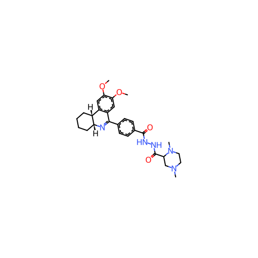 COc1cc2c(cc1OC)[C@H]1CCCC[C@H]1N=C2c1ccc(C(=O)NNC(=O)C2CN(C)CCN2C)cc1